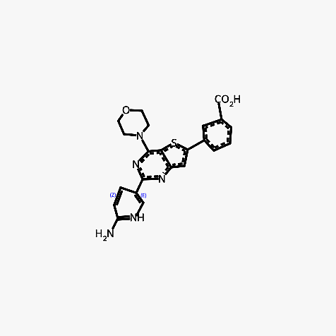 C/C=C(\C=C/C(=N)N)c1nc(N2CCOCC2)c2sc(-c3cccc(C(=O)O)c3)cc2n1